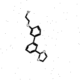 BrCCOc1cccc(-c2cccc(C3OCCO3)c2)c1